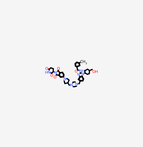 Cc1cccc(C(=O)Nc2nc3cc(CN4CCN(CC5CCN(c6ccc7c(c6)C(=O)N(C6CCC(=O)NC6=O)C7=O)CC5)CC4)ccc3n2C2CCC(CO)CC2)c1